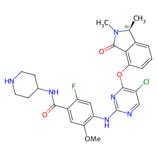 COc1cc(C(=O)NC2CCNCC2)c(F)cc1Nc1ncc(Cl)c(Oc2cccc3c2C(=O)N(C)[C@H]3C)n1